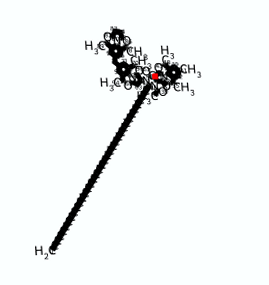 C=C=C=C=C=C=C=C=C=C=C=C=C=C=C=C=C=C=C=C=C=C=C=C=C=C=C=C=C=C=C=C=C=C=C=C(N(C(C)=O)C1CC(=O)N(c2c(CC)cc(C)cc2CC)C1=O)N(C(C)=O)C1CC(=O)N(c2c(CC)cc(Cc3cc(CC)c(N4C(=O)C=CC4=O)c(CC)c3)cc2CC)C1=O